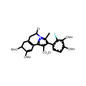 CCOC(=O)c1c(-c2ccc(OC)c(OC)c2F)c(C)n2c1C1=C(CC(OC)C(OC)=C1)CC2CC